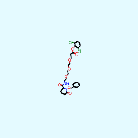 O=C(CCOCCOCCOCCNC(=O)c1cccc(=O)n1OCc1ccccc1)Oc1c(Cl)cccc1Cl